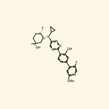 CCC[C@]1(C)CC[C@H](F)[C@H](N(c2cnc(-c3ccc(-c4cc(SC)ncc4F)cc3O)nn2)C2CC2)C1